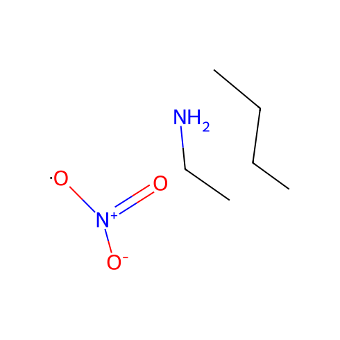 CCCC.CCN.[O][N+](=O)[O-]